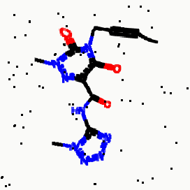 CC#CCn1c(=O)c(C(=O)Nc2nnnn2C)nn(C)c1=O